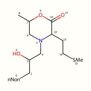 CCCCCCCCCCC(O)CN1CC(C)OC(=O)C1CCSC